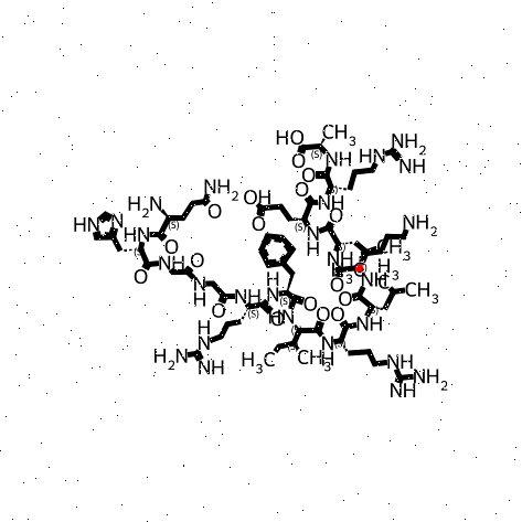 CC[C@H](C)[C@H](NC(=O)[C@H](Cc1ccccc1)NC(=O)[C@H](CCCNC(=N)N)NC(=O)CNC(=O)CNC(=O)[C@H](Cc1c[nH]cn1)NC(=O)[C@@H](N)CCC(N)=O)C(=O)N[C@@H](CCCNC(=N)N)C(=O)N[C@@H](CC(C)C)C(=O)N[C@@H](CCCCN)C(=O)N[C@@H](CC(C)C)C(=O)N[C@@H](CCC(=O)O)C(=O)N[C@@H](CCCNC(=N)N)C(=O)N[C@@H](C)C(=O)O